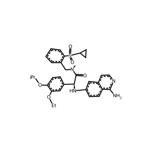 CCOc1cc([C@H](Nc2ccc3c(N)nccc3c2)C(=O)N(C)Cc2ccccc2S(=O)(=O)C2CC2)ccc1OC(C)C